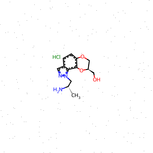 C[C@H](N)Cn1ncc2ccc3c(c21)O[C@H](CO)CO3.Cl